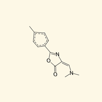 Cc1ccc(C2=NC(=CN(C)C)C(=O)O2)cc1